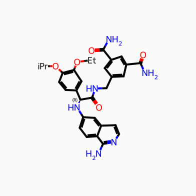 CCOc1cc([C@@H](Nc2ccc3c(N)nccc3c2)C(=O)NCc2cc(C(N)=O)cc(C(N)=O)c2)ccc1OC(C)C